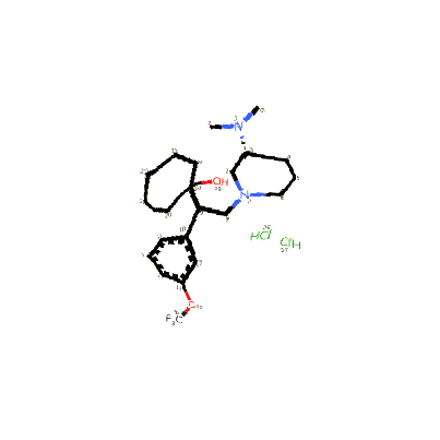 CN(C)[C@@H]1CCCN(CC(c2cccc(OC(F)(F)F)c2)C2(O)CCCCC2)C1.Cl.Cl